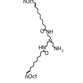 CCCCCCCCC=CCCCCCCCC(=O)NCCN(CCN)CCNC(=O)CCCCCCCC=CCCCCCCCC